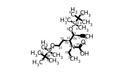 C#C[C@H](O[Si](C)(C)C(C)(C)C)[C@H](CCO[Si](C)(C)C(C)(C)C)N(CC)C(=O)O